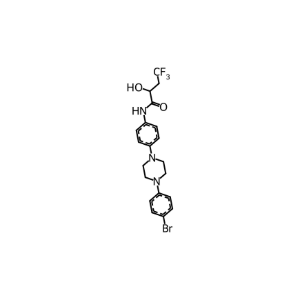 O=C(Nc1ccc(N2CCN(c3ccc(Br)cc3)CC2)cc1)C(O)CC(F)(F)F